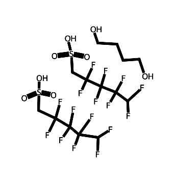 O=S(=O)(O)CC(F)(F)C(F)(F)C(F)(F)C(F)F.O=S(=O)(O)CC(F)(F)C(F)(F)C(F)(F)C(F)F.OCCCCO